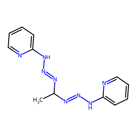 CC(N=NNc1ccccn1)N=NNc1ccccn1